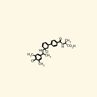 Cc1cc(C(C)NC2(Cl)C=CC=C(c3ccc(C(=O)N[C@@H](C)C(=O)O)cc3)C2)cc(C)c1Cl